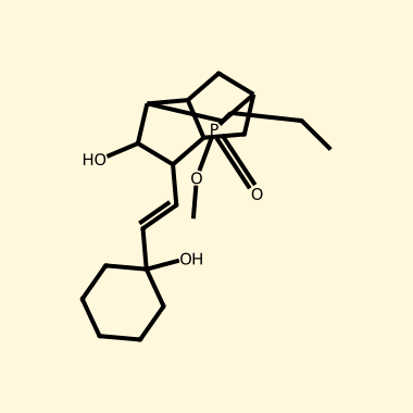 CCC1C2(C3CC4C(C=CC5(O)CCCCC5)C(O)C2C4C3)P1(=O)OC